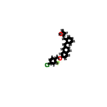 Fc1cc(Cl)ccc1COc1ccc2c(c1)CC(CC1C=CC=CC1C[C@H]1CCO1)CC2